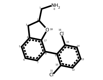 NCC1Cc2cccc(-c3c(Cl)cccc3Cl)c2O1